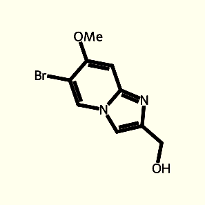 COc1cc2nc(CO)cn2cc1Br